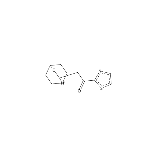 O=C(CC1CC2CC[N+]1CC2)c1nccs1